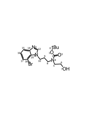 CC(C)(C)OC(=O)N(CCO)CCCn1cnc2cccc(Br)c21